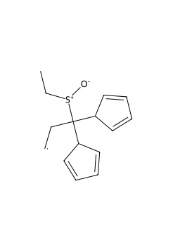 [CH2]CC(C1C=CC=C1)(C1C=CC=C1)[S+]([O-])CC